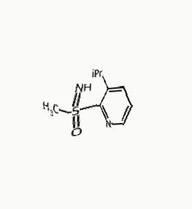 CC(C)c1cccnc1S(C)(=N)=O